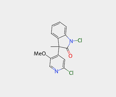 COc1cnc(Cl)cc1C1(C)C(=O)N(Cl)c2ccccc21